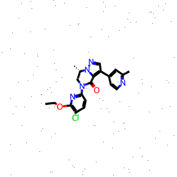 CCOc1nc(N2C[C@H](C)n3ncc(-c4ccnc(C)c4)c3C2=O)ccc1Cl